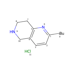 CCC(C)c1ccc2c(n1)CCNC2.Cl